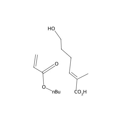 C=CC(=O)OCCCC.CC(=CCCCO)C(=O)O